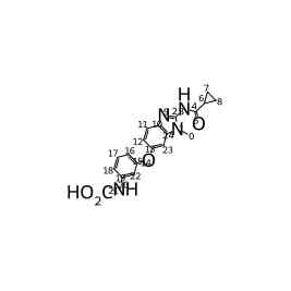 Cn1c(NC(=O)C2CC2)nc2ccc(Oc3cccc(NC(=O)O)c3)cc21